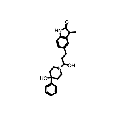 CC1C(=O)Nc2ccc(CCC(O)N3CCC(O)(c4ccccc4)CC3)cc21